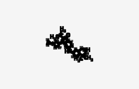 CC(C)n1c(=O)c2cnc(Nc3ccc4c(c3)CNCC4(C)C)nc2n1-c1ccn(C2CC2)n1